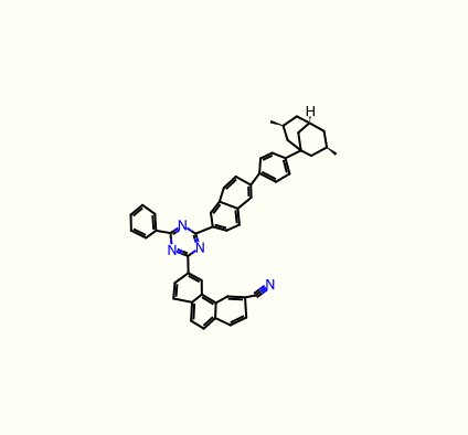 C[C@@H]1C[C@@H]2C[C@H](C)CC(c3ccc(-c4ccc5cc(-c6nc(-c7ccccc7)nc(-c7ccc8ccc9ccc(C#N)cc9c8c7)n6)ccc5c4)cc3)(C1)C2